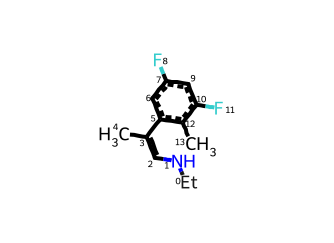 CCN/C=C(/C)c1cc(F)cc(F)c1C